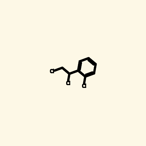 ClCC(Cl)c1ccccc1Cl